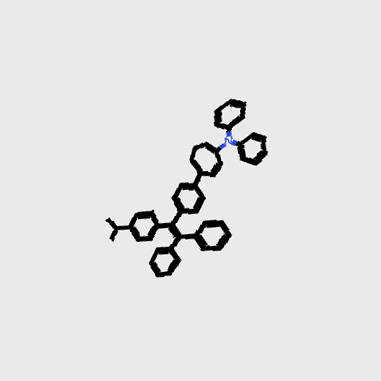 CC(C)c1ccc(C(=C(c2ccccc2)c2ccccc2)c2ccc(C3=CCC=C(N(c4ccccc4)c4ccccc4)C=C3)cc2)cc1